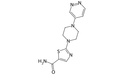 NC(=O)c1cnc(N2CCN(c3ccnnc3)CC2)s1